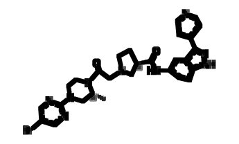 C[C@@H]1CN(c2ncc(Br)cn2)CCN1C(=O)CN1CC[C@@H](C(=O)Nc2ccc3[nH]nc(-c4ccncc4)c3c2)C1